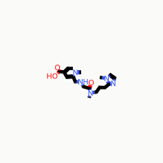 C=N/C(=C\C(=C/C)C(=O)O)CNCC(=O)N(C)CCCc1nccn1C